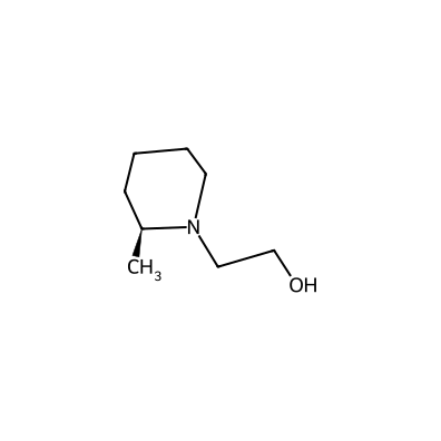 C[C@H]1CCCCN1CCO